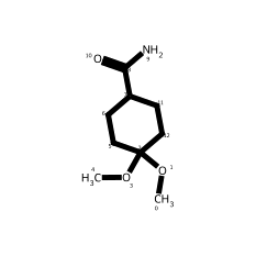 COC1(OC)CCC(C(N)=O)CC1